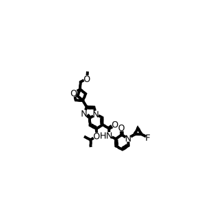 COCC12CC(c3cn4cc(C(=O)Nc5cccn(C6CC6F)c5=O)c(OC(C)C)cc4n3)(CO1)C2